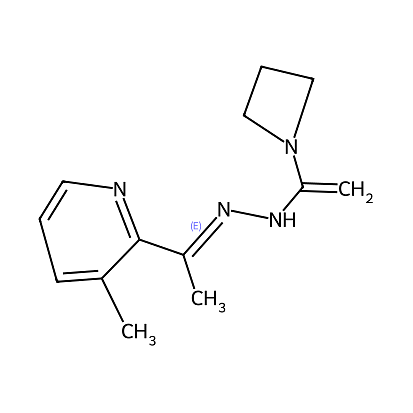 C=C(N/N=C(\C)c1ncccc1C)N1CCC1